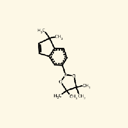 CC1(C)C=Cc2cc(B3OC(C)(C)C(C)(C)O3)ccc21